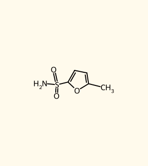 Cc1ccc(S(N)(=O)=O)o1